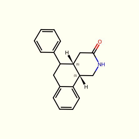 O=C1C[C@H]2C(c3ccccc3)Cc3ccccc3[C@H]2CN1